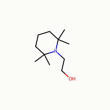 CC1(C)C[CH]CC(C)(C)N1CCO